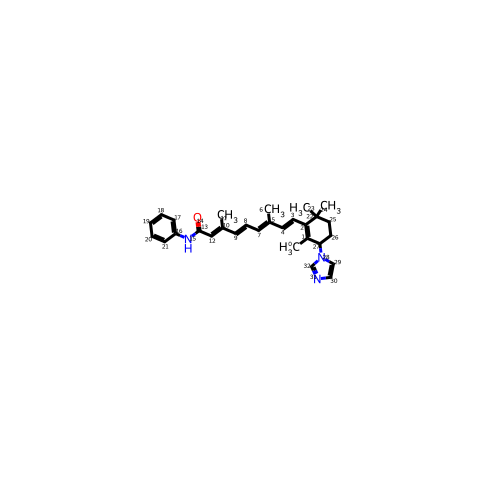 CC1=C(/C=C/C(C)=C/C=C/C(C)=C/C(=O)Nc2ccccc2)C(C)(C)CCC1n1ccnc1